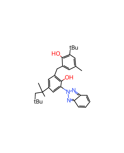 Cc1cc(Cc2cc(C(C)(C)CC(C)(C)C)cc(-n3nc4ccccc4n3)c2O)c(O)c(C(C)(C)C)c1